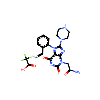 C=Cc1ccccc1-n1c(N2CCNCC2)nc2c1c(=O)[nH]c(=O)n2CC(N)=O.O=C(O)C(F)(F)F